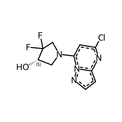 O[C@H]1CN(c2cc(Cl)nc3ccnn23)CC1(F)F